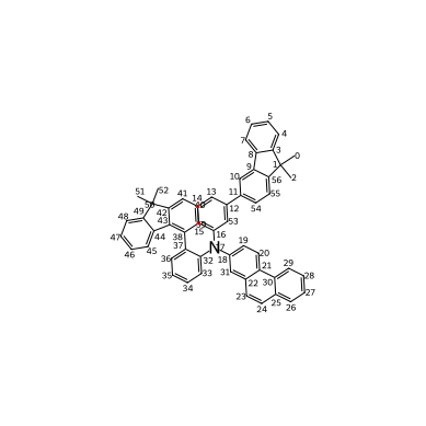 CC1(C)c2ccccc2-c2cc(-c3cccc(N(c4ccc5c(ccc6ccccc65)c4)c4ccccc4-c4cccc5c4-c4ccccc4C5(C)C)c3)ccc21